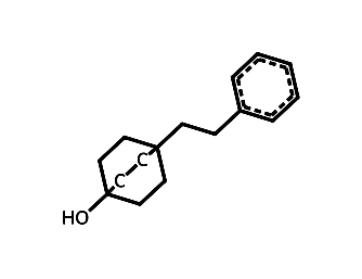 OC12CCC(CCc3ccccc3)(CC1)CC2